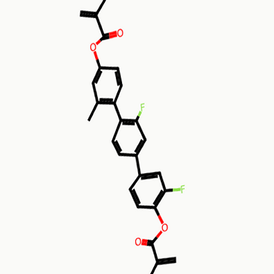 C=C(C)C(=O)Oc1ccc(-c2ccc(-c3ccc(OC(=O)C(=C)C)c(F)c3)cc2F)c(C)c1